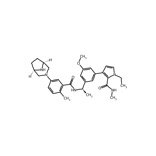 CCn1ccc(-c2cc(OC)cc([C@@H](C)NC(=O)c3cc(N4C[C@H]5CC[C@@H](C4)N5)ccc3C)c2)c1C(=O)NC